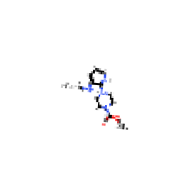 CCCCCNc1cccnc1N1CCN(C(=O)OC(C)(C)C)CC1